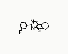 Fc1cccc(-c2n[c]c3c4c(sc3n2)CCCC4)c1